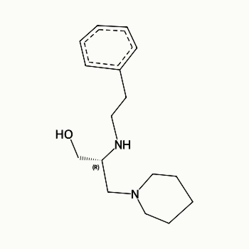 OC[C@@H](CN1CCCCC1)NCCc1ccccc1